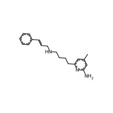 Cc1cc(N)nc(CCCCNCC=Cc2ccccc2)c1